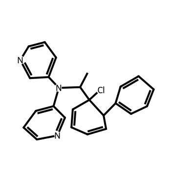 CC(N(c1cccnc1)c1cccnc1)C1(Cl)C=CC=CC1c1ccccc1